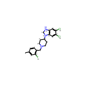 Cc1ccc(CN2CCC(N3CNc4cc(Cl)c(Cl)cc43)CC2)c(F)c1